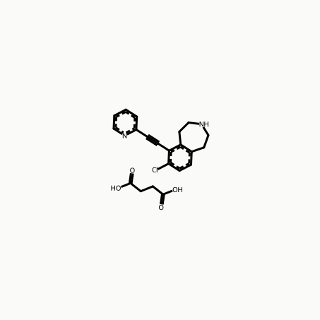 Clc1ccc2c(c1C#Cc1ccccn1)CCNCC2.O=C(O)CCC(=O)O